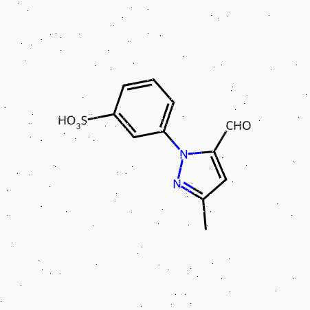 Cc1cc(C=O)n(-c2cccc(S(=O)(=O)O)c2)n1